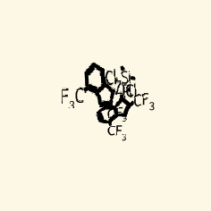 C[SiH](C)[Zr]([Cl])([Cl])([CH]1C(C(F)(F)F)=Cc2c1cccc2C(F)(F)F)[CH]1C(C(F)(F)F)=Cc2c1cccc2C(F)(F)F